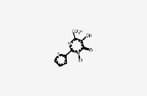 CCn1c(-c2cccs2)nc(C(=O)O)c(O)c1=O